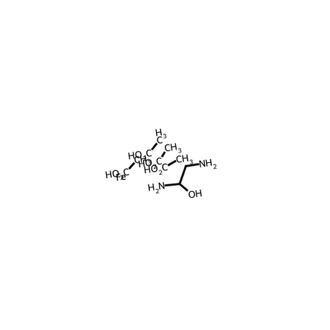 CC(=O)O.CC(=O)O.CC(=O)O.CC(=O)O.NCC(N)O.[Fe]